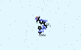 COC1CN([C@@H]2CCC[C@@H]2Nc2ncc(C(F)(F)F)c(-c3c[nH]c4nc(-c5c(C)noc5C)ccc34)n2)C1